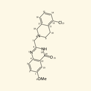 COc1ccc2nc(CN3CCc4c(Cl)cccc4C3)[nH]c(=O)c2c1